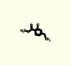 CCc1ccc(C(=O)SC)c(Cl)c1